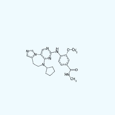 CNC(=O)c1ccc(Nc2ncc3c(n2)N(C2CCCC2)CCc2cncn2-3)c(OC)c1